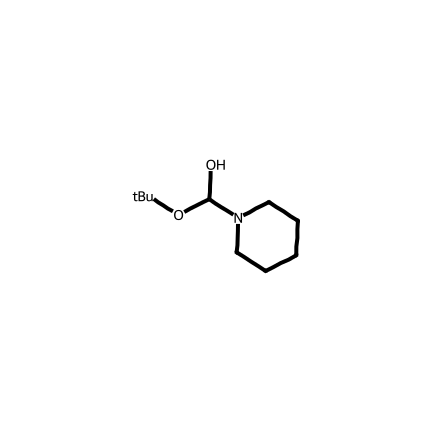 CC(C)(C)OC(O)N1CCCCC1